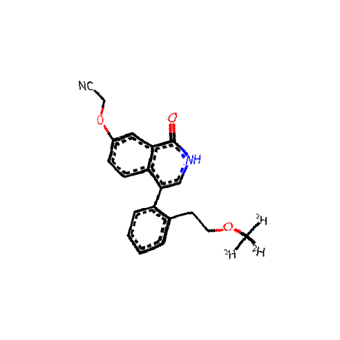 [2H]C([2H])([2H])OCCc1ccccc1-c1c[nH]c(=O)c2cc(OCC#N)ccc12